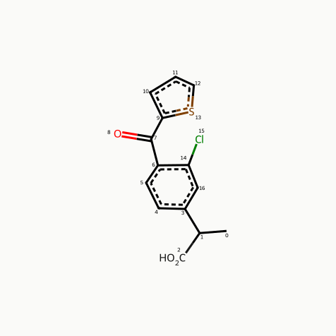 CC(C(=O)O)c1ccc(C(=O)c2cccs2)c(Cl)c1